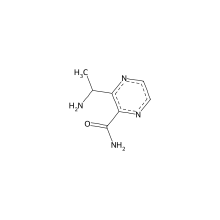 CC(N)c1nccnc1C(N)=O